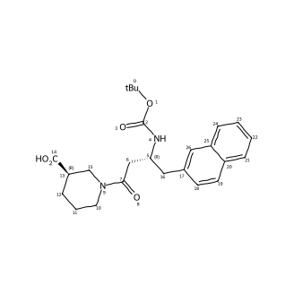 CC(C)(C)OC(=O)N[C@@H](CC(=O)N1CCC[C@@H](C(=O)O)C1)Cc1ccc2ccccc2c1